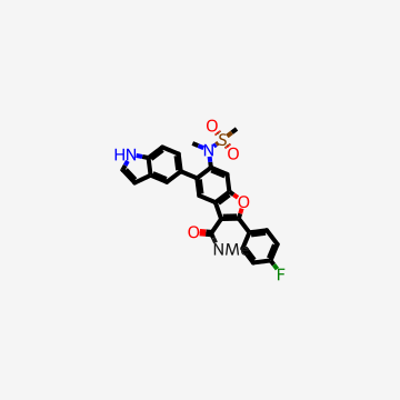 CNC(=O)c1c(-c2ccc(F)cc2)oc2cc(N(C)S(C)(=O)=O)c(-c3ccc4[nH]ccc4c3)cc12